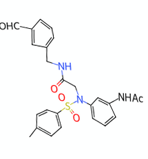 CC(=O)Nc1cccc(N(CC(=O)NCc2cccc(C=O)c2)S(=O)(=O)c2ccc(C)cc2)c1